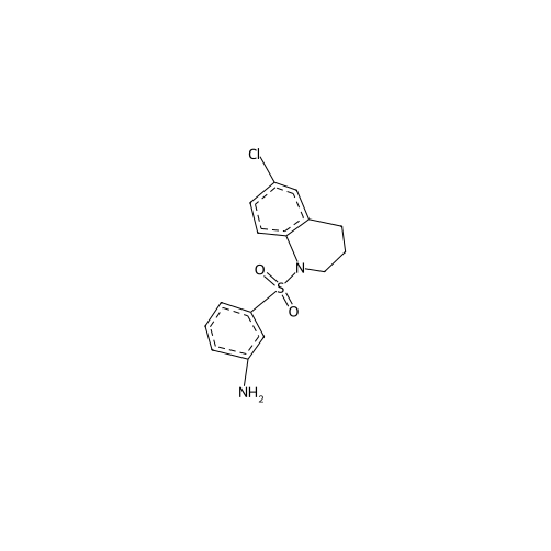 Nc1cccc(S(=O)(=O)N2CCCc3cc(Cl)ccc32)c1